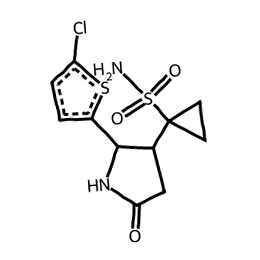 NS(=O)(=O)C1(C2CC(=O)NC2c2ccc(Cl)s2)CC1